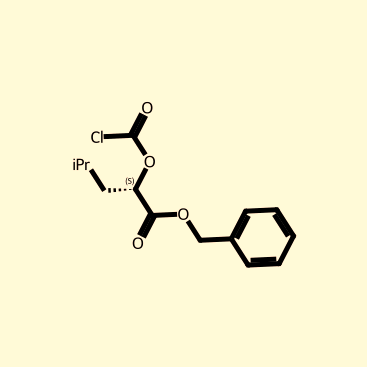 CC(C)C[C@H](OC(=O)Cl)C(=O)OCc1ccccc1